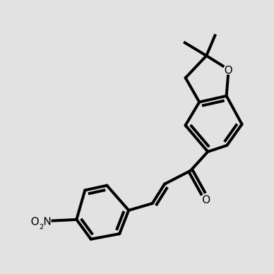 CC1(C)Cc2cc(C(=O)C=Cc3ccc([N+](=O)[O-])cc3)ccc2O1